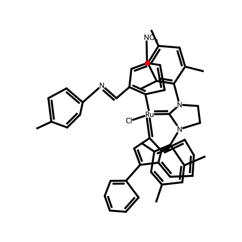 Cc1ccc(N=Cc2cc([N+](=O)[O-])cc[c]2[Ru]([Cl])(=[C]2C=C(c3ccccc3)c3ccccc32)=[C]2N(c3c(C)cc(C)cc3C)CCN2c2c(C)cc(C)cc2C)cc1